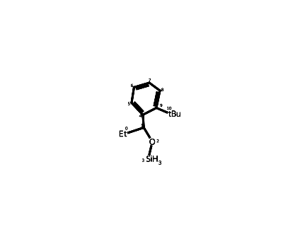 CCC(O[SiH3])c1ccccc1C(C)(C)C